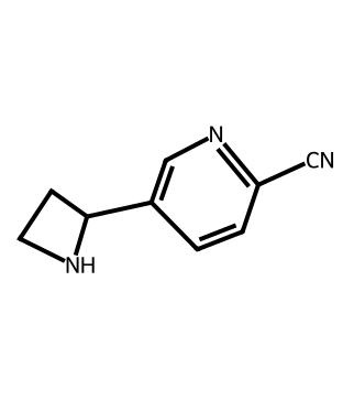 N#Cc1ccc(C2CCN2)cn1